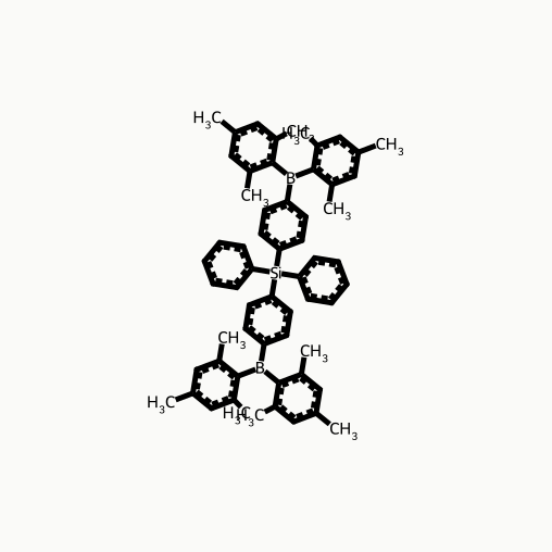 Cc1cc(C)c(B(c2ccc([Si](c3ccccc3)(c3ccccc3)c3ccc(B(c4c(C)cc(C)cc4C)c4c(C)cc(C)cc4C)cc3)cc2)c2c(C)cc(C)cc2C)c(C)c1